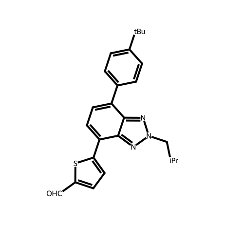 CC(C)Cn1nc2c(-c3ccc(C(C)(C)C)cc3)ccc(-c3ccc(C=O)s3)c2n1